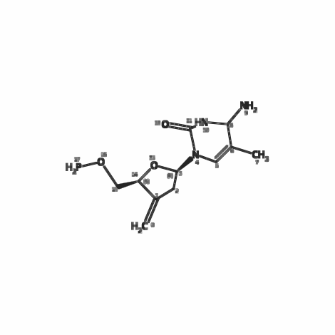 C=C1C[C@H](N2C=C(C)C(N)NC2=O)O[C@@H]1COP